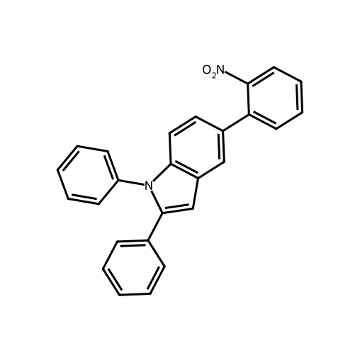 O=[N+]([O-])c1ccccc1-c1ccc2c(c1)cc(-c1ccccc1)n2-c1ccccc1